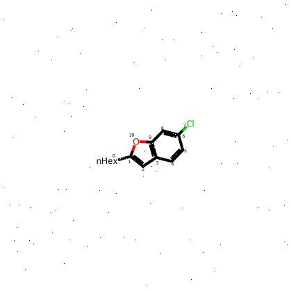 [CH2]CCCCCc1cc2ccc(Cl)cc2o1